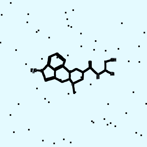 CCC(CO)NC(=O)C1CC2c3cccc4c3c(cn4C(F)(F)F)CC2N(C)C1